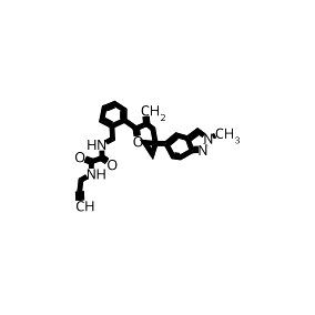 C#CCNC(=O)C(=O)NCc1ccccc1C(=O)C(=C)CC1(c2ccc3nn(C)cc3c2)CC1